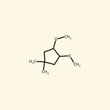 COC1CC(C)(C)CC1OC